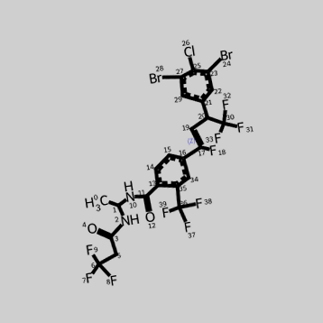 CC(NC(=O)CC(F)(F)F)NC(=O)c1ccc(/C(F)=C/C(c2cc(Br)c(Cl)c(Br)c2)C(F)(F)F)cc1C(F)(F)F